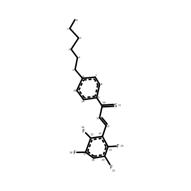 CCCCCCc1ccc(C(=S)C=Cc2c(F)c(F)cc(F)c2F)cc1